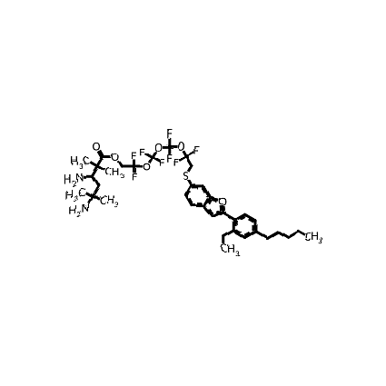 CCCCCc1ccc(-c2cc3ccc(SCC(F)(F)OC(F)(F)OC(F)(F)OC(F)(F)COC(=O)C(C)(C)C(N)CC(C)(C)N)cc3o2)c(CC)c1